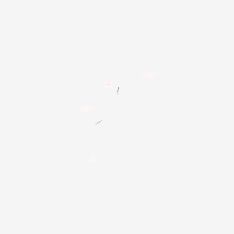 COC1CCC(/C=C/C2CC(/C=C/C3CCC(O)CC3)C(O)CC2O)CC1